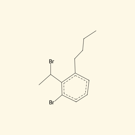 CCCCc1cccc(Br)c1C(C)Br